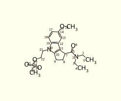 CCN(CC)C(=O)C1CCc2c1c1cc(OC)ccc1n2CCOS(C)(=O)=O